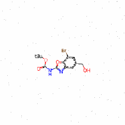 CC(C)(C)OC(=O)Nc1nc2cc(CO)cc(Br)c2o1